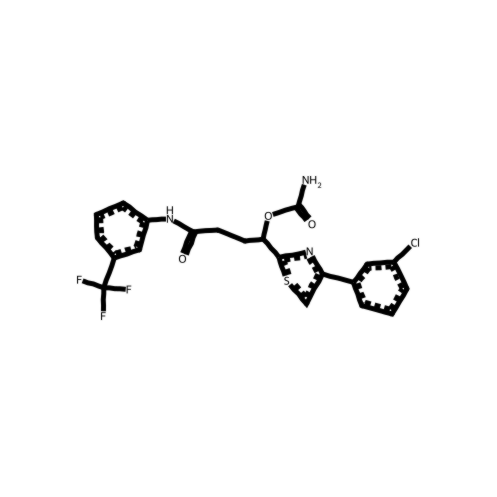 NC(=O)OC(CCC(=O)Nc1cccc(C(F)(F)F)c1)c1nc(-c2cccc(Cl)c2)cs1